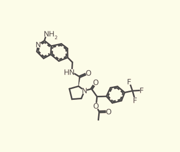 CC(=O)OC(C(=O)N1CCC[C@H]1C(=O)NCc1ccc2c(N)nccc2c1)c1ccc(C(F)(F)F)cc1